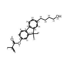 C=C(C)C(=O)Oc1ccc2c(c1)C(C)(C)c1cc(CCCCO)ccc1-2